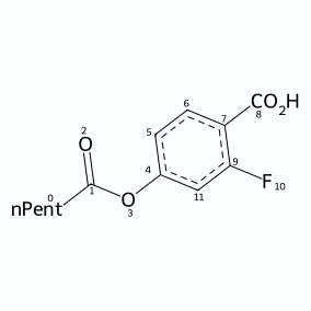 CCCCCC(=O)Oc1ccc(C(=O)O)c(F)c1